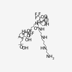 C[C@@H]1CC[C@@H]2C(C(O)O[C@@](OCCCCN(CC(=O)NCCCNCCCCNCCCN)CC3=C(C(F)(F)F)OC4O[C@@]5(C)CC[C@H]6[C@H](C)CC[C@@H]3[C@@]46O5)(C(F)(F)F)[C@@H]2C)[C@H]1CCC(C)(C)OO